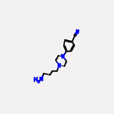 N#Cc1ccc(N2CCN(CCCCN)CC2)cc1